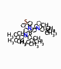 CC1(C)CC(C)(C)c2cc(N3c4cc5c(cc4B4c6ccc(N7c8ccc([Si](C)(C)C)cc8C8(C)CCCCC78C)cc6N(c6cccc7sc8ccccc8c67)c6cccc3c64)C(C)(C)CC5(C)C)ccc21